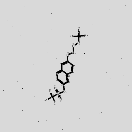 O=S(=O)(Oc1ccc2cc(OSOOC(F)(F)F)ccc2c1)C(F)(F)F